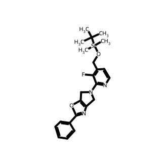 CC(C)(C)[Si](C)(C)OCc1ccnc(N2Cc3nc(-c4ccccc4)oc3C2)c1F